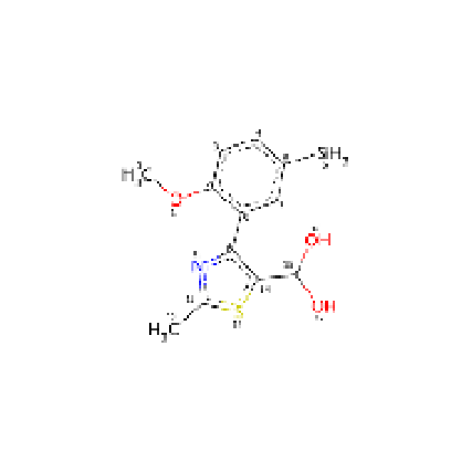 COc1ccc([SiH3])cc1-c1nc(C)sc1C(O)O